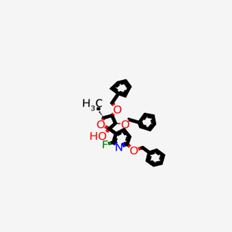 CC[C@H]1OC(O)(c2ccc(OCc3ccccc3)nc2F)[C@@H](OCc2ccccc2)C1OCc1ccccc1